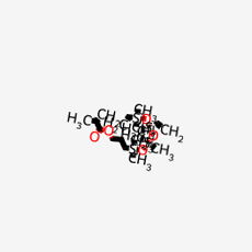 C=C[Si](C)(C)O[Si](C)(C=C)O[Si](C)(C)O[Si](C)(C)CCCOC(=O)C(=C)C